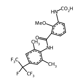 COc1c(NC(=O)O)cccc1C(=O)Nc1c(C)cc(C(F)(C(F)(F)F)C(F)(F)F)cc1C